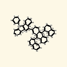 c1ccc(-n2c3ccncc3c3cc(-c4ccc5c(-c6cccc7ccccc67)c6ccccc6c(-c6cccc7ccccc67)c5c4)c4ccccc4c32)cc1